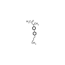 [CH2]C(F)CC(C)c1ccc(-c2ccc(CCCCC)cc2)cc1